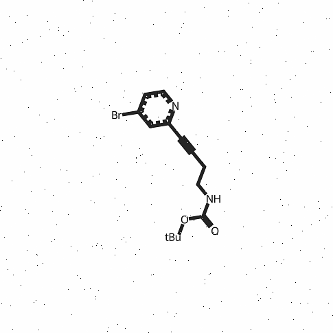 CC(C)(C)OC(=O)NCCC#Cc1cc(Br)ccn1